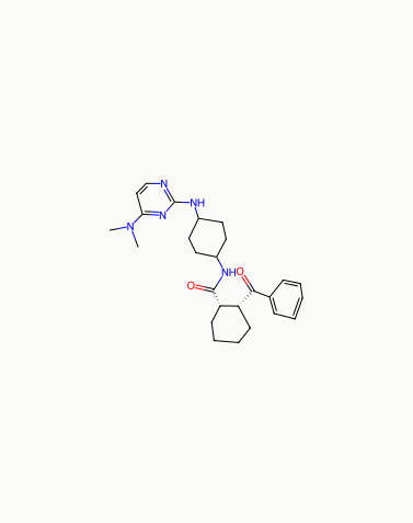 CN(C)c1ccnc(NC2CCC(NC(=O)[C@H]3CCCC[C@H]3C(=O)c3ccccc3)CC2)n1